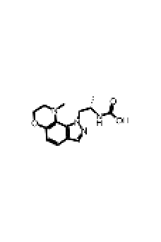 C[C@@H](Cn1ncc2ccc3c(c21)N(C)CCO3)NC(=O)O